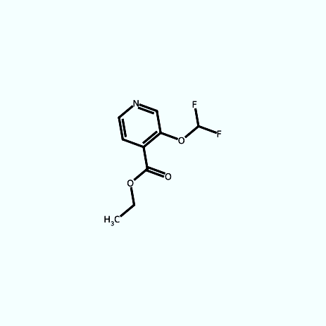 CCOC(=O)c1ccncc1OC(F)F